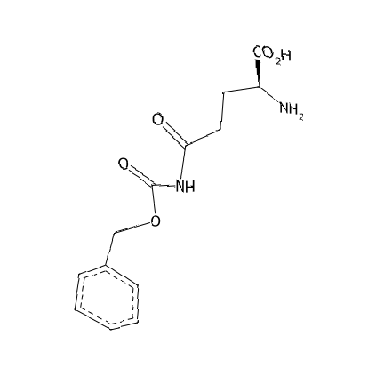 N[C@@H](CCC(=O)NC(=O)OCc1ccccc1)C(=O)O